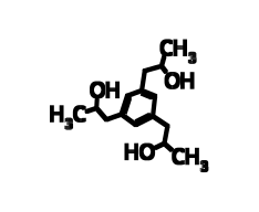 CC(O)Cc1cc(CC(C)O)cc(CC(C)O)c1